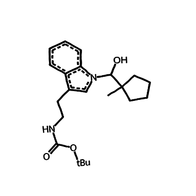 CC(C)(C)OC(=O)NCCc1cn(C(O)C2(C)CCCC2)c2ccccc12